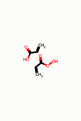 C=CC(=O)O.C=CC(=O)OO